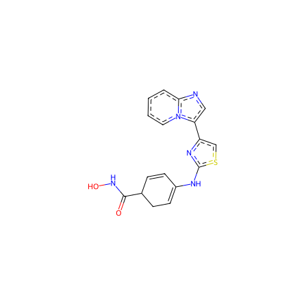 O=C(NO)C1C=CC(Nc2nc(-c3cnc4ccccn34)cs2)=CC1